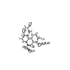 COc1ccc(CN2C(=O)COc3ccc(C(=O)NO)cc32)cc1C